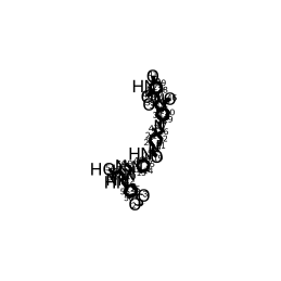 CS(=O)(=O)c1ccc(Nc2nc(N3CCC[C@@H](NC(=O)N4CCC5(CC4)CN(c4ccc6c(c4)C(=O)N(C4CCC(=O)NC4=O)C6=O)C5)C3)cnc2C(N)O)cc1